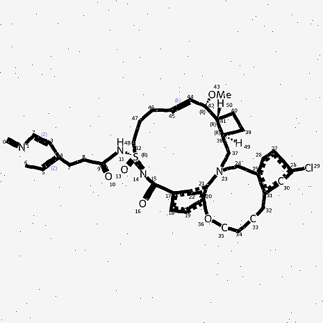 C=N/C=C\C(=C/C)CCC(=O)N[S@@]1(=O)=NC(=O)c2ccc3c(c2)N(Cc2ccc(Cl)cc2CCCCO3)C[C@@H]2CC[C@H]2[C@@H](OC)/C=C/CCC1